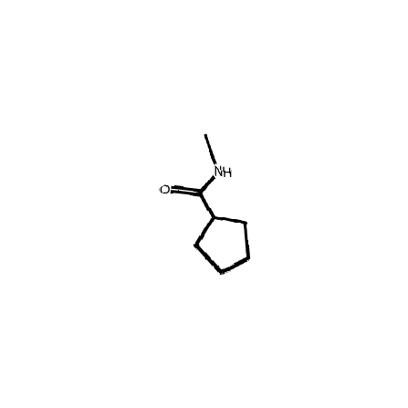 CNC(=O)C1CCCC1